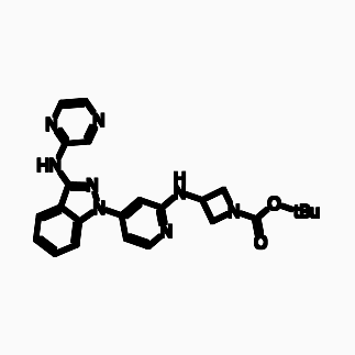 CC(C)(C)OC(=O)N1CC(Nc2cc(-n3nc(Nc4cnccn4)c4ccccc43)ccn2)C1